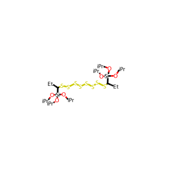 CCC(SSSSSSSSC(CC)[Si](OC(C)C)(OC(C)C)OC(C)C)[Si](OC(C)C)(OC(C)C)OC(C)C